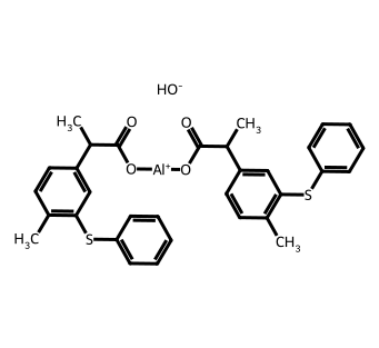 Cc1ccc(C(C)C(=O)[O][Al+][O]C(=O)C(C)c2ccc(C)c(Sc3ccccc3)c2)cc1Sc1ccccc1.[OH-]